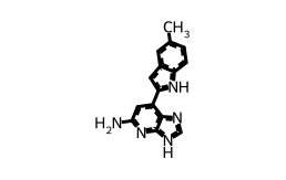 Cc1ccc2[nH]c(-c3cc(N)nc4[nH]cnc34)cc2c1